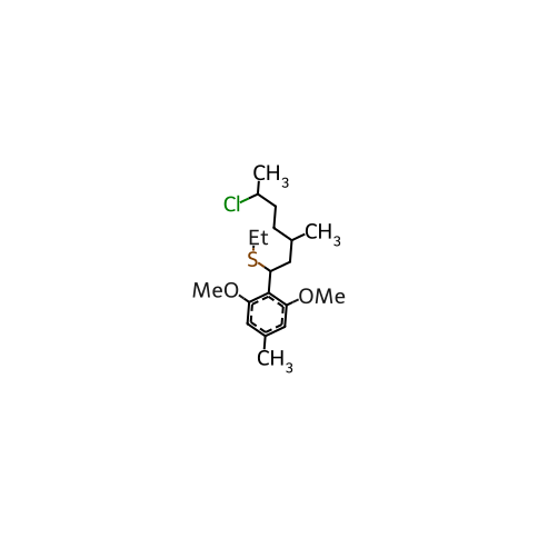 CCSC(CC(C)CCC(C)Cl)c1c(OC)cc(C)cc1OC